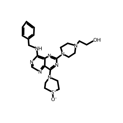 [O-][S+]1CCN(c2nc(N3CCN(CCO)CC3)nc3c(NCc4ccccc4)ncnc23)CC1